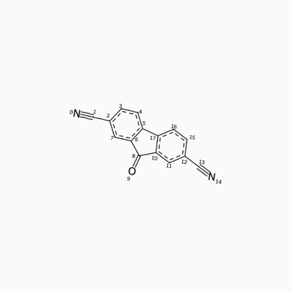 N#Cc1ccc2c(c1)C(=O)c1cc(C#N)ccc1-2